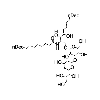 CCCCCCCCCCCCCCCCCC(=O)N[C@@H](CO[C@@H]1OC(CO)[C@H](O)[C@H](O[C@@H]2CC(O)C[C@H]([C@H](O)[C@@H](O)CO)O2)C1O)[C@H](O)[C@H](O)CCCCCCCCCCCCCC